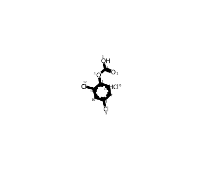 Cl.O=C(O)Oc1ccc(Cl)cc1Cl